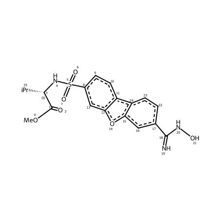 COC(=O)[C@@H](NS(=O)(=O)c1ccc2c(c1)oc1cc(C(=N)NO)ccc12)C(C)C